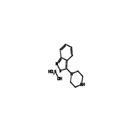 O=S(=O)(O)O.c1ccc2c(N3CCNCC3)snc2c1